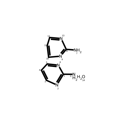 Nc1ncccn1.Nc1ncccn1.O